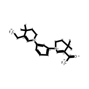 CC1(C)CCN(c2cccc(N3C=C(C(=O)C(F)(F)F)C(C)(C)CC3)c2)C=C1CC(F)(F)F